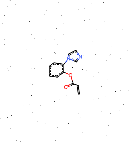 C=CC(=O)Oc1ccccc1-n1ccnc1